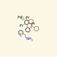 CC(C)c1cc(C(C)C)c(-c2ccccc2P(C2CCCCC2)C2CCCCC2)c(C(C)C)c1.NCCc1[c-]cccc1.[Cl][Pd+]